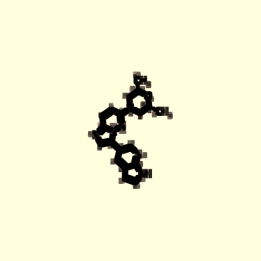 C[C@@H]1CN(c2ccc3ncc(-c4cnc5[nH]ccc5c4)n3n2)C[C@H](C)O1